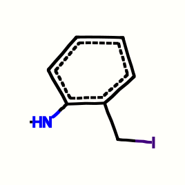 [NH]c1ccccc1CI